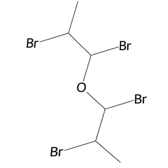 CC(Br)C(Br)OC(Br)C(C)Br